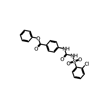 O=C(Nc1ccc(C(=O)Oc2ccccc2)cc1)NS(=O)(=O)c1ccccc1Cl